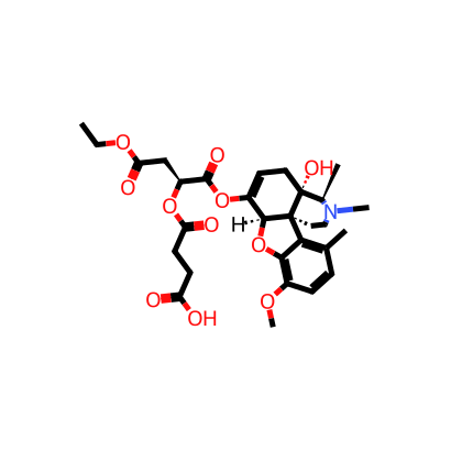 CCOC(=O)C[C@H](OC(=O)CCC(=O)O)C(=O)OC1=CC[C@@]2(O)[C@@H](C)N(C)CC[C@@]23c2c(C)ccc(OC)c2O[C@@H]13